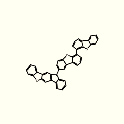 c1ccc2c(c1)oc1cc3c4ccccc4n(-c4ccc5oc6c(-c7cccc8c7sc7ccccc78)cccc6c5c4)c3cc12